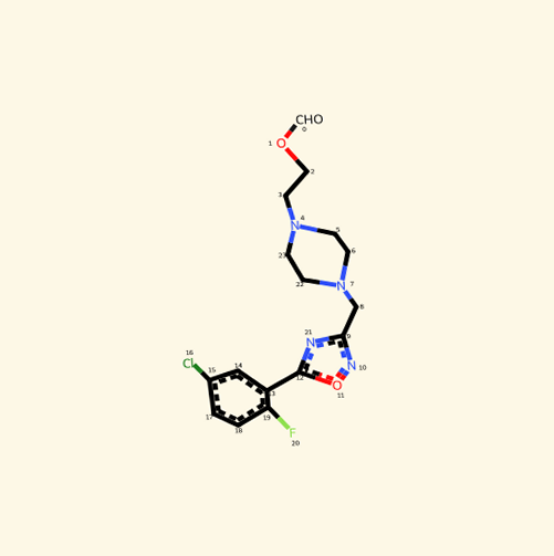 O=COCCN1CCN(Cc2noc(-c3cc(Cl)ccc3F)n2)CC1